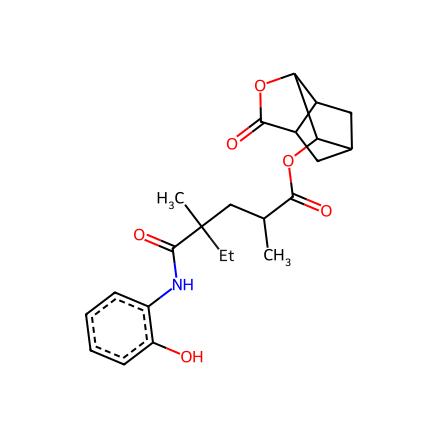 CCC(C)(CC(C)C(=O)OC1C2CC3C(=O)OC1C3C2)C(=O)Nc1ccccc1O